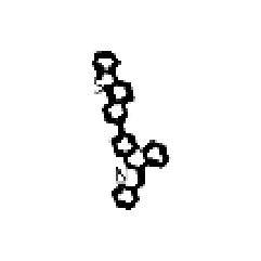 c1ccc(-c2cc3ccccc3nc2-c2ccc(-c3ccc4c(ccc5c6ccccc6sc45)c3)cc2)cc1